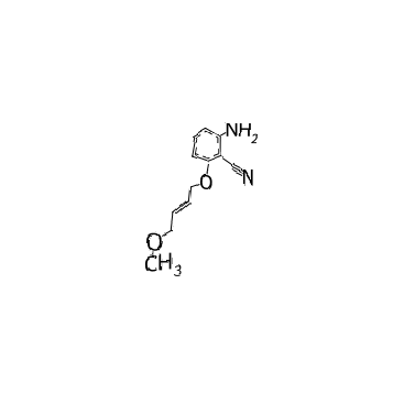 COCC=CCOc1cccc(N)c1C#N